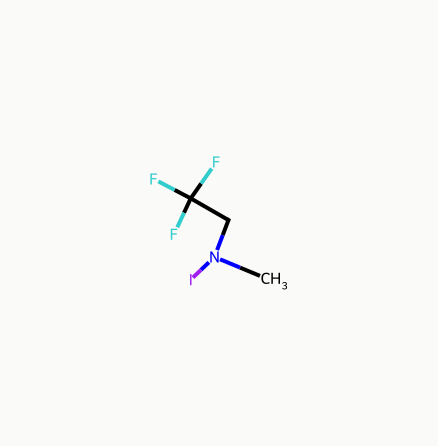 CN(I)CC(F)(F)F